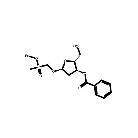 CCOP(C)(=O)CO[C@@H]1C[C@H](OC(=O)c2ccccc2)[C@@H](CO)O1